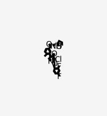 Cc1ccc(C(=O)NC[C@@H]2CCCO2)cc1-n1cnc(OCc2ccc(F)cc2F)c(Cl)c1=O